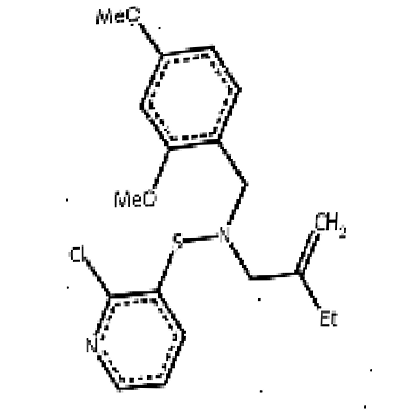 C=C(CC)CN(Cc1ccc(OC)cc1OC)Sc1cccnc1Cl